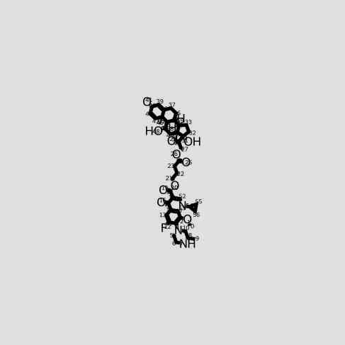 COc1c(N2CCNC(C)C2)c(F)cc2c(=O)c(C(=O)OCCCC(=O)OCC(=O)[C@]3(O)CC[C@@H]4[C@H]5CCC6=CC(=O)C=C[C@@]6(C)C5[C@H](O)C[C@]43C)cn(C3CC3)c12